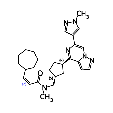 CN(C[C@H]1CC[C@@H](c2nc(-c3cnn(C)c3)cn3nccc23)C1)C(=O)/C=C\C1CCCCCC1